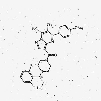 COc1ccc(-c2nc3c(C(=O)N4CCN([C@H](CO)c5c(F)cccc5F)CC4)cnn3c(C(F)(F)F)c2C)cc1